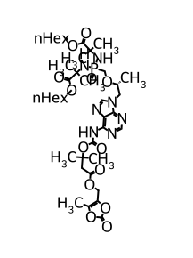 CCCCCCOC(=O)C(C)(C)NP(=O)(CO[C@H](C)Cn1cnc2c(NC(=O)OC(C)(C)CC(=O)OCc3oc(=O)oc3C)ncnc21)NC(C)(C)C(=O)OCCCCCC